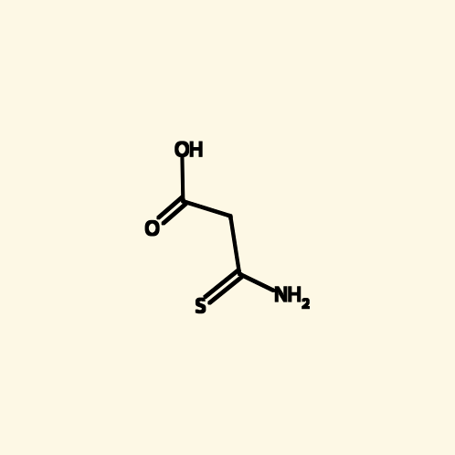 NC(=S)CC(=O)O